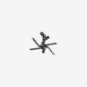 CCCCCCCCCCCCC(CCCCCCCCCC)CN1C(=O)C2=C(c3ccc(C(C)(C)C)s3)N(CC(CCCCCCCCCC)CCCCCCCCCCCC)C(=O)C2=C1c1ccc(-c2cc3cc(C(=O)Oc4ccccc4)c4cc(C(C)(C)C)sc4c3s2)s1